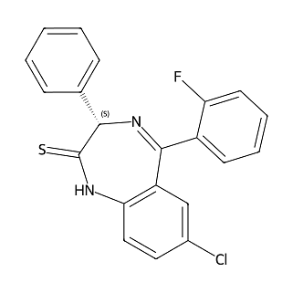 Fc1ccccc1C1=N[C@@H](c2ccccc2)C(=S)Nc2ccc(Cl)cc21